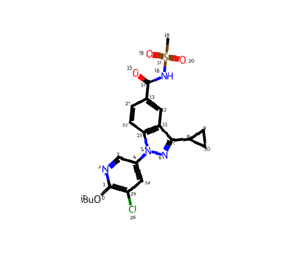 CC(C)COc1ncc(-n2nc(C3CC3)c3cc(C(=O)NS(C)(=O)=O)ccc32)cc1Cl